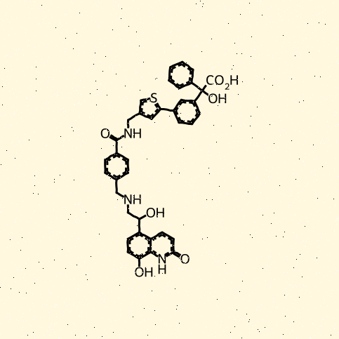 O=C(NCc1csc(-c2cccc(C(O)(C(=O)O)c3ccccc3)c2)c1)c1ccc(CNCC(O)c2ccc(O)c3[nH]c(=O)ccc23)cc1